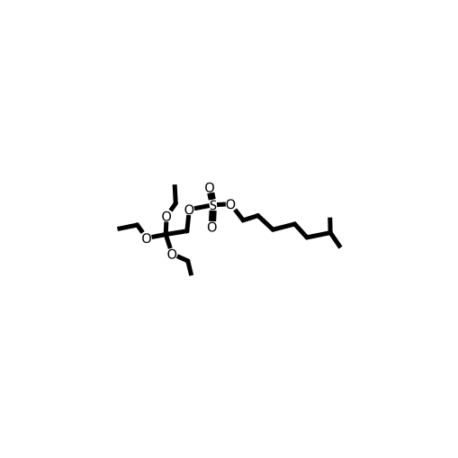 CCOC(COS(=O)(=O)OCCCCCC(C)C)(OCC)OCC